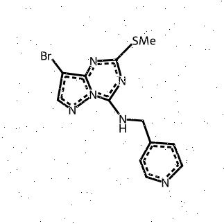 CSc1nc(NCc2ccncc2)n2ncc(Br)c2n1